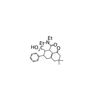 CCN(CC)C(=O)C1C2=C(CC(c3ccccc3)C1C(=O)O)CC(C)(C)CC2=O